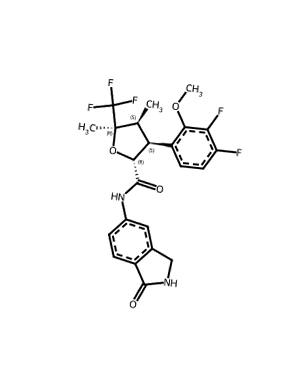 COc1c([C@H]2[C@H](C(=O)Nc3ccc4c(c3)CNC4=O)O[C@@](C)(C(F)(F)F)[C@H]2C)ccc(F)c1F